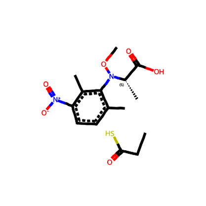 CCC(=O)S.CON(c1c(C)ccc([N+](=O)[O-])c1C)[C@@H](C)C(=O)O